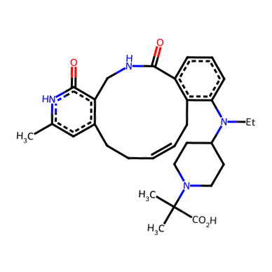 CCN(c1cccc2c1CC=CCCc1cc(C)[nH]c(=O)c1CNC2=O)C1CCN(C(C)(C)C(=O)O)CC1